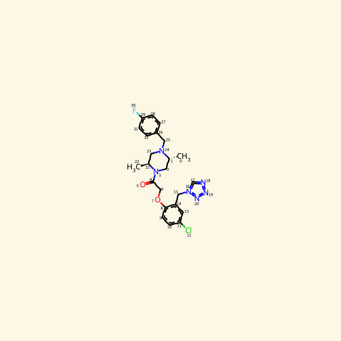 C[C@@H]1CN(C(=O)COc2ccc(Cl)cc2Cn2cnnn2)[C@@H](C)CN1Cc1ccc(F)cc1